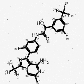 [2H]C([2H])([2H])c1nc(-c2ccc(NC(=O)C(O)c3cc(F)cc(C(F)(F)F)c3)cc2F)c2c(N)nc(C)cn12